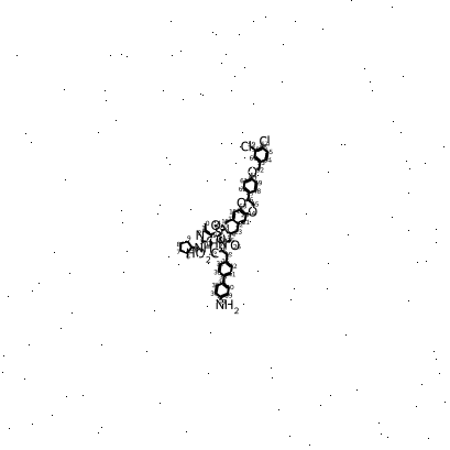 Cc1nc(NC2CCCC2)sc1S(=O)(=O)N1Cc2cc3c(cc2C[C@H]1C(=O)N[C@@H](Cc1ccc(-c2ccc(N)cc2)cc1)C(=O)O)OCC(c1ccc(OCc2ccc(Cl)c(Cl)c2)cc1)O3